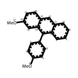 COc1ccc(-c2c3ccccc3cc3ccc(OC)cc23)cc1